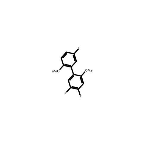 COc1ccc(F)cc1-c1cc(F)c(F)cc1OC